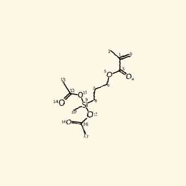 C=C(C)C(=O)OCCC[Si](C)(OC(C)=O)OC(C)=O